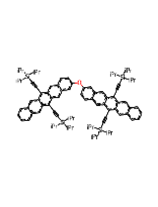 CC(C)[Si](C#Cc1c2cc3ccccc3cc2c(C#C[Si](C(C)C)(C(C)C)C(C)C)c2cc3cc(Oc4ccc5cc6c(C#C[Si](C(C)C)(C(C)C)C(C)C)c7cc8ccccc8cc7c(C#C[Si](C(C)C)(C(C)C)C(C)C)c6cc5c4)ccc3cc12)(C(C)C)C(C)C